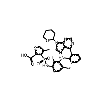 Cc1csc(C(=O)O)c1S(=O)(=O)Nc1ccc(F)c(Nc2ncccc2-c2ncnc3c2ncn3C2CCCCO2)c1F